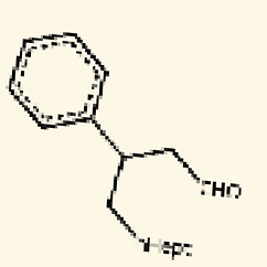 CCCCCCCCC(CC=O)c1ccccc1